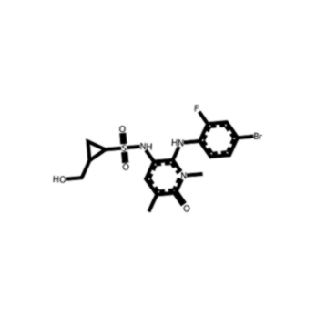 Cc1cc(NS(=O)(=O)C2CC2CO)c(Nc2ccc(Br)cc2F)n(C)c1=O